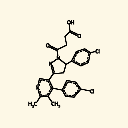 Cc1ncc(C2=NN(C(=O)CCC(=O)O)C(c3ccc(Cl)cc3)C2)c(-c2ccc(Cl)cc2)c1C